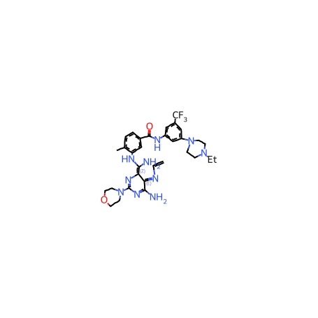 C=C/N=C1/C(N)=NC(N2CCOCC2)=N/C1=C(/N)Nc1cc(C(=O)Nc2cc(N3CCN(CC)CC3)cc(C(F)(F)F)c2)ccc1C